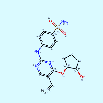 C=Cc1cnc(Nc2ccc(S(N)(=O)=O)cc2)nc1O[C@H]1CCC[C@H]1O